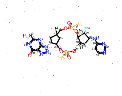 Nc1nc2c(nnn2[C@@H]2C[C@@H]3CO[P@@](=O)(S)O[C@@H]4[C@@H](CO[P@@](=O)(S)O[C@@H]2C3)C[C@@H](Nc2ccncn2)[C@@H]4F)c(=O)[nH]1